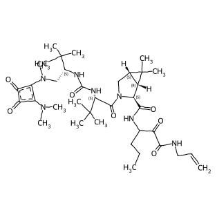 C=CCNC(=O)C(=O)C(CCC)NC(=O)[C@@H]1[C@@H]2[C@H](CN1C(=O)[C@@H](NC(=O)N[C@H](CN(C)c1c(N(C)C)c(=O)c1=O)C(C)(C)C)C(C)(C)C)C2(C)C